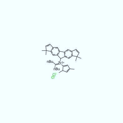 CCCC[C](CCCC)=[Zr+2]([C]1=CC(C)=CC1C)[CH]1c2cc3c(cc2-c2cc4c(cc21)C(C)(C)C=C4)C=CC3(C)C.[Cl-].[Cl-]